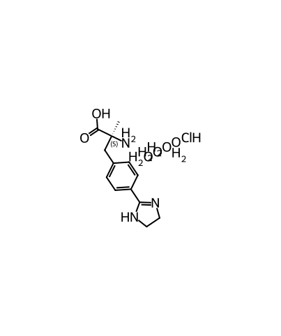 C[C@](N)(Cc1ccc(C2=NCCN2)cc1)C(=O)O.Cl.O.O.O.O